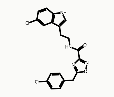 O=C(NCCc1c[nH]c2ccc(Cl)cc12)c1noc(Cc2ccc(Cl)cc2)n1